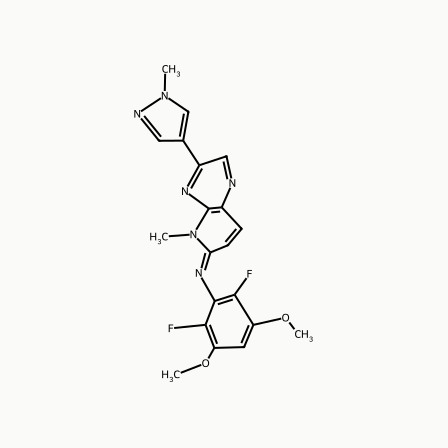 COc1cc(OC)c(F)c(/N=c2\ccc3ncc(-c4cnn(C)c4)nc3n2C)c1F